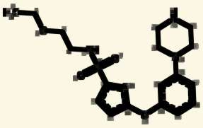 CCOCCNS(=O)(=O)c1ccc(Oc2cccc(N3CCNCC3)c2)s1